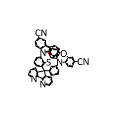 N#Cc1ccc2c(c1)Oc1ccccc1N2c1cccc2c1Sc1c(-n3c4ccccc4c4cc(C#N)ccc43)cccc1C21c2cccnc2-c2ncccc21